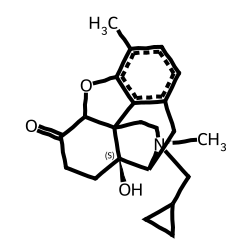 Cc1ccc2c3c1OC1C(=O)CC[C@@]4(O)C(C2)[N+](C)(CC2CC2)CCC314